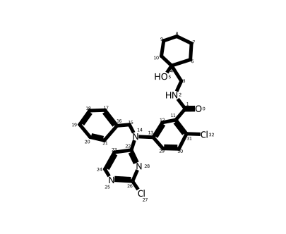 O=C(NCC1(O)CCCCC1)c1cc(N(Cc2ccccc2)c2ccnc(Cl)n2)ccc1Cl